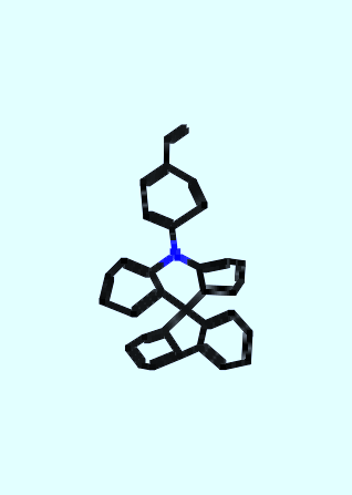 C=Cc1ccc(N2c3ccccc3C3(c4ccccc4-c4ccccc43)c3ccccc32)cc1